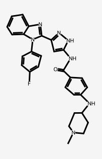 CN1CCC(Nc2ccc(C(=O)Nc3cc(-c4nc5ccccc5n4-c4ccc(F)cc4)n[nH]3)cc2)CC1